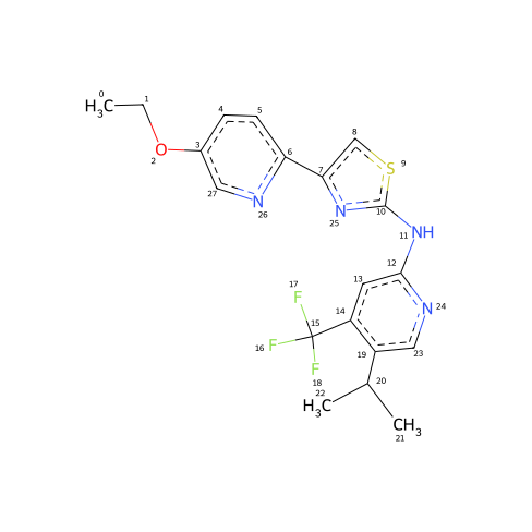 CCOc1ccc(-c2csc(Nc3cc(C(F)(F)F)c(C(C)C)cn3)n2)nc1